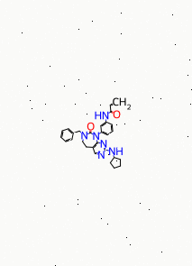 C=CC(=O)Nc1cccc(N2C(=O)N(Cc3ccccc3)CCc3cnc(NC4CCCC4)nc32)c1